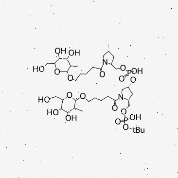 CC1C(OCCCCC(=O)N2C[C@H](C)CC2COP(=O)(O)O[C@@H]2C[C@@H](COP(=O)(O)OC(C)(C)C)N(C(=O)CCCCOC3OC(CO)C(O)C(O)C3C)C2)OC(CO)C(O)C1O